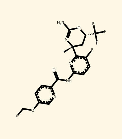 C[C@]1(c2nc(NC(=O)c3ccc(OCF)cn3)ccc2F)C[C@@H](C(F)(F)F)OC(N)=N1